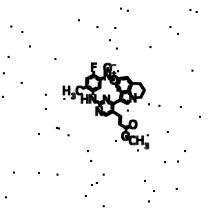 COC(=O)C=Cc1cnc(Nc2cc([N+](=O)[O-])c(F)cc2C)nc1-c1cn2c3c(cccc13)CCC2